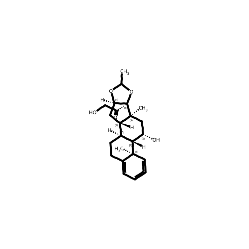 CC1O[C@@H]2C[C@H]3[C@@H]4CCC5=CC=C=C[C@]5(C)[C@H]4[C@@H](O)C[C@]3(C)[C@]2(C(=O)CO)O1